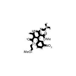 COCCOC(=O)C1=C(C)NC(N=CN(C)C)=C(C(=O)OC)C1c1cccc([N+](=O)[O-])c1